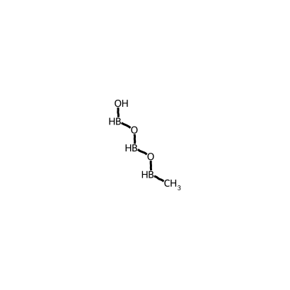 CBOBOBO